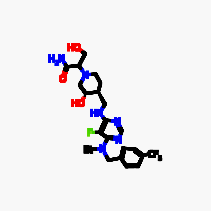 CCN(Cc1ccc(C(F)(F)F)cc1)c1ncnc(NC[C@@H]2CCN(C(CO)C(N)=O)C[C@H]2O)c1F